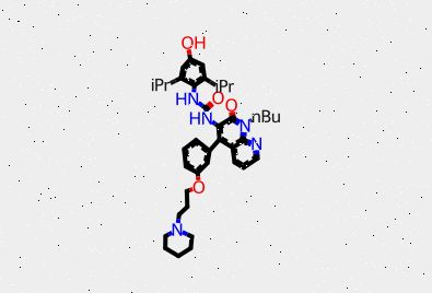 CCCCn1c(=O)c(NC(=O)Nc2c(C(C)C)cc(O)cc2C(C)C)c(-c2cccc(OCCCN3CCCCC3)c2)c2cccnc21